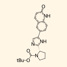 CC(C)(C)OC(=O)N1CCC[C@H]1c1ncc(-c2ccc3[nH]c(=O)ccc3c2)[nH]1